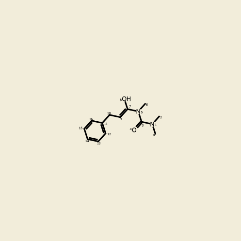 CN(C)C(=O)N(C)C(O)=CCc1ccccc1